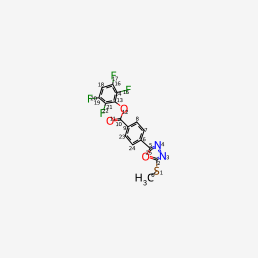 CSc1nnc(-c2ccc(C(=O)Oc3c(F)c(F)cc(F)c3F)cc2)o1